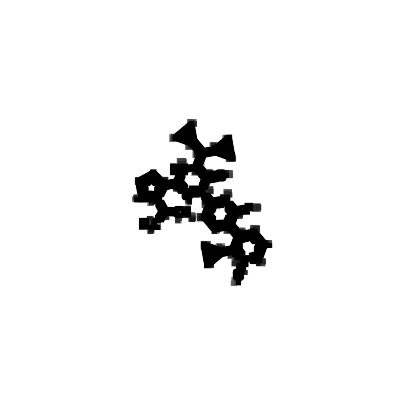 CC(C)n1nccc1C(=O)N[C@H](C(=O)Nc1ccc(-c2ccc[n+]([O-])c2C2CC2)c(F)n1)C(C1CC1)C1CC1